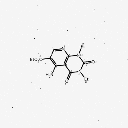 CCOC(=O)c1cnc2c(c1N)c(=O)n(CC)c(=O)n2CC